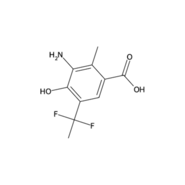 Cc1c(C(=O)O)cc(C(C)(F)F)c(O)c1N